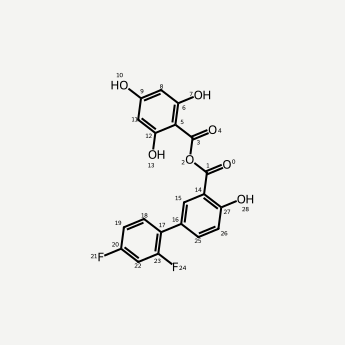 O=C(OC(=O)c1c(O)cc(O)cc1O)c1cc(-c2ccc(F)cc2F)ccc1O